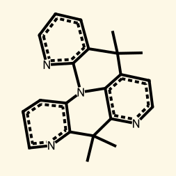 CC1(C)c2cccnc2N2c3cccnc3C(C)(C)c3nccc1c32